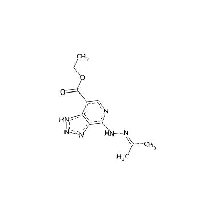 CCOC(=O)c1cnc(NN=C(C)C)c2nn[nH]c12